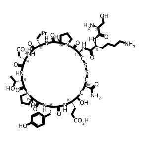 CC(C)C[C@@H]1NC(=O)[C@@H]2CCCN2C(=O)[C@@H](NC(=O)[C@H](CCCCN)NC(=O)[C@@H](N)CO)CSSC[C@@H](C(N)=O)CC(O)[C@H](CCC(=O)O)NC(=O)[C@H](Cc2ccc(O)cc2)NC(=O)[C@@H]2CCCN2C(=O)[C@H](C(C)O)NC(=O)[C@H](CC(=O)O)NC1=O